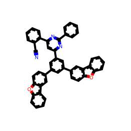 N#Cc1ccccc1-c1cc(-c2cc(-c3ccc4oc5ccccc5c4c3)cc(-c3ccc4oc5ccccc5c4c3)c2)nc(-c2ccccc2)n1